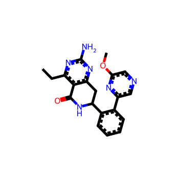 CCc1nc(N)nc2c1C(=O)NC(c1ccccc1-c1cncc(OC)n1)C2